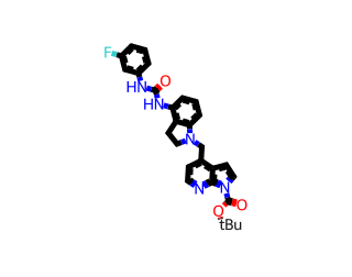 CC(C)(C)OC(=O)n1ccc2c(CN3CCc4c(NC(=O)Nc5cccc(F)c5)cccc43)ccnc21